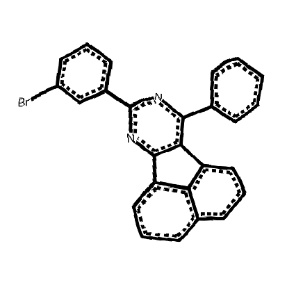 Brc1cccc(-c2nc(-c3ccccc3)c3c(n2)-c2cccc4cccc-3c24)c1